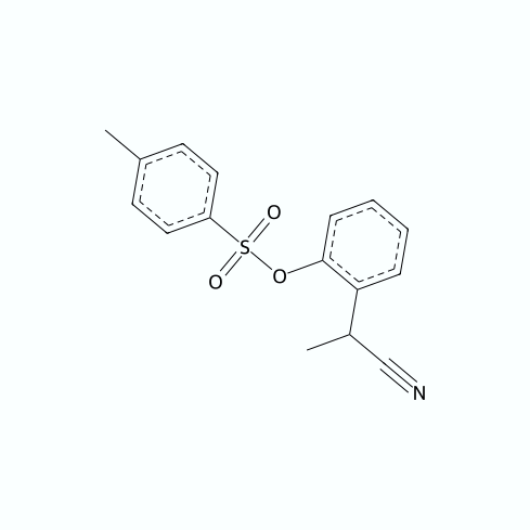 Cc1ccc(S(=O)(=O)Oc2ccccc2C(C)C#N)cc1